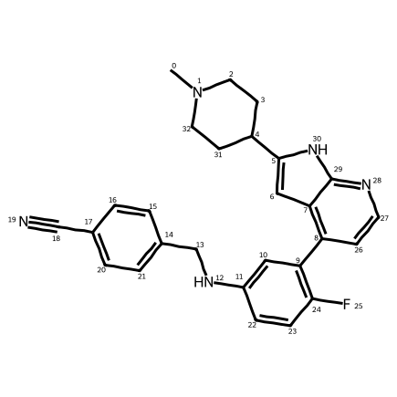 CN1CCC(c2cc3c(-c4cc(NCc5ccc(C#N)cc5)ccc4F)ccnc3[nH]2)CC1